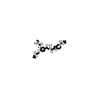 CCNC(=O)Oc1cc(C(=O)CNC(=O)c2cc3c(s2)CCN(C(=O)OC(C)(C)C)C3)ccc1OCC(=O)OC(C)(C)C